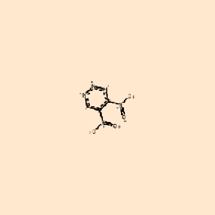 O=[N+]([O-])c1cnnnc1[N+](=O)[O-]